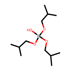 CC(C)C[O][Ti]([OH])([O]CC(C)C)[O]CC(C)C